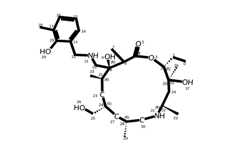 CC[C@H]1OC(=O)C(C)[C@@](O)(CNCc2cccc(C)c2O)[C@H](C)C[C@@H](CO)C[C@@H](C)CN[C@H](C)C[C@]1(C)O